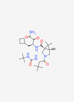 CC(C)(C)NC(=O)N[C@H](C(=O)N1C[C@H]2C(C)(C)[C@@]2(C(=O)N[C@@H](CC2CCC2)C(=O)C(N)=O)C1)C(C)(C)C